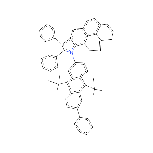 CC(C)(C)c1c2ccc(-n3c(-c4ccccc4)c(-c4ccccc4)c4cc5ccc6c7c5c(c43)CC=C7CC=C6)cc2c(C(C)(C)C)c2ccc(-c3ccccc3)cc12